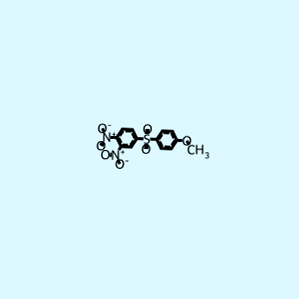 COc1ccc(S(=O)(=O)c2ccc([N+](=O)[O-])c([N+](=O)[O-])c2)cc1